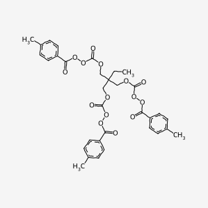 CCC(COC(=O)OOC(=O)c1ccc(C)cc1)(COC(=O)OOC(=O)c1ccc(C)cc1)COC(=O)OOC(=O)c1ccc(C)cc1